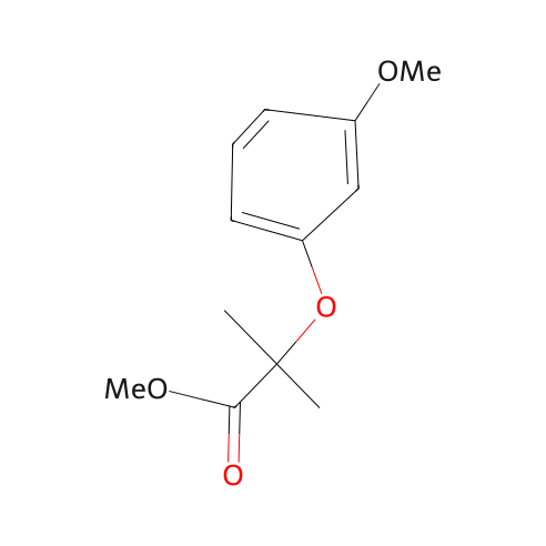 COC(=O)C(C)(C)Oc1cccc(OC)c1